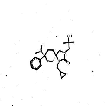 CN(C)[C@]1(c2ccccc2)CC[C@]2(CC1)CN(CC(C)(C)O)C(=O)N2CC1CC1